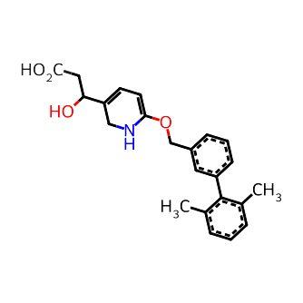 Cc1cccc(C)c1-c1cccc(COC2=CC=C(C(O)CC(=O)O)CN2)c1